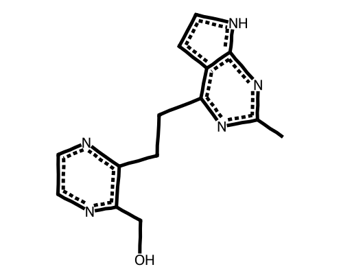 Cc1nc(CCc2nccnc2CO)c2cc[nH]c2n1